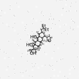 CCC(CC)CC1CC(C2CCOC2)C2CC3(C)CC4(C)CC(C)C(C(C)O)C(O)C4(C)C(C)C3C(O)C2C1C